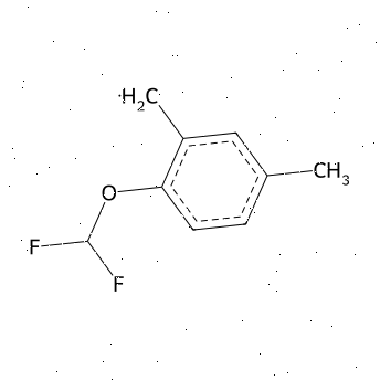 [CH2]c1cc(C)ccc1OC(F)F